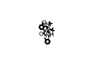 CC(C)(C)NC(=O)c1c(Cl)cccc1CC(=O)[C@@H](Cc1ccccc1F)NC(=O)OC(C)(C)C